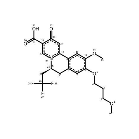 COCCCOc1cc2c(cc1OC)-c1cc(=O)c(C(=O)O)cn1[C@H](CC(F)(F)F)C2